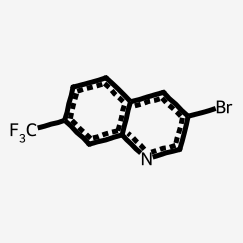 FC(F)(F)c1ccc2cc(Br)cnc2c1